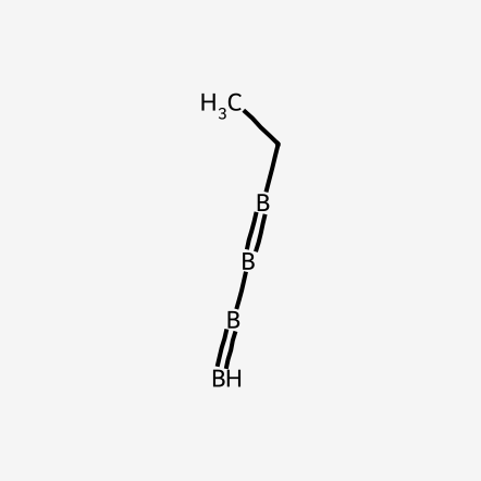 B=BB=BCC